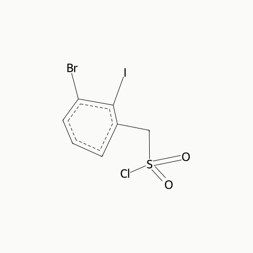 O=S(=O)(Cl)Cc1cccc(Br)c1I